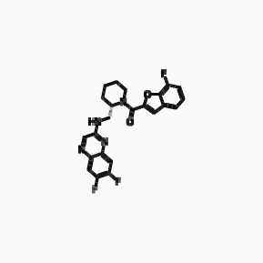 O=C(c1cc2cccc(F)c2o1)N1CCCC[C@H]1CNc1cnc2cc(F)c(F)cc2n1